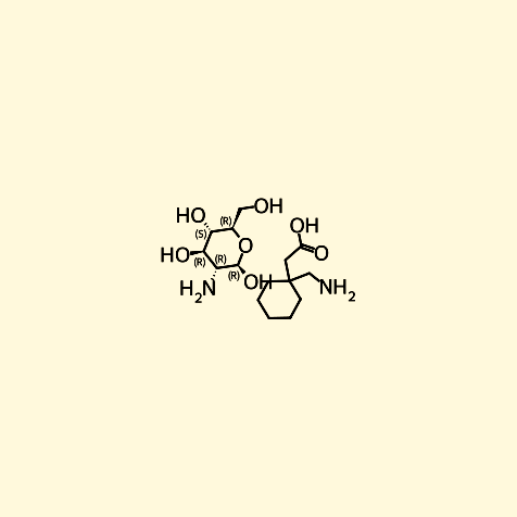 NCC1(CC(=O)O)CCCCC1.N[C@@H]1[C@@H](O)[C@H](O)[C@@H](CO)O[C@H]1O